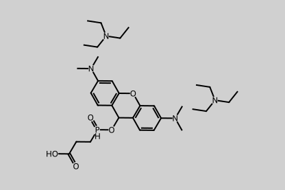 CCN(CC)CC.CCN(CC)CC.CN(C)c1ccc2c(c1)Oc1cc(N(C)C)ccc1C2O[PH](=O)CCC(=O)O